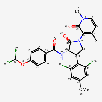 CCn1ccc(C)c(N2C[C@@H](c3c(F)cc(OC)cc3F)[C@H](NC(=O)c3ccc(OC(F)F)cc3)C2=O)c1=O